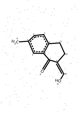 Cc1ccc2c(c1)C(=O)C(=CO)CC2